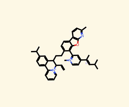 C=CC1C(CCc2ccc3c(oc4nc(C)ccc43)c2-c2cc(/C(C)=C/C(C)C)cc[n+]2C)c2cc(C(C)C)ccc2-c2cccc[n+]21